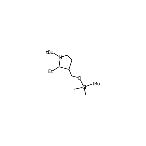 CCC1C(CO[Si](C)(C)C(C)(C)C)CCN1C(C)(C)C